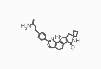 C=C(N)CCc1ccc(-c2ncc3c(n2)-c2[nH]c4c(c2CC3)C(=O)NC2(CCC2)C4)cc1